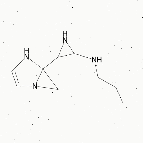 CCCNC1NC1C12CN1C=CN2